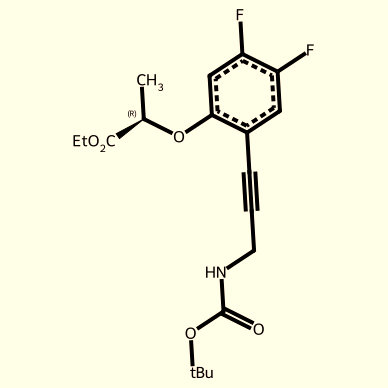 CCOC(=O)[C@@H](C)Oc1cc(F)c(F)cc1C#CCNC(=O)OC(C)(C)C